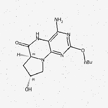 CCCCOc1nc(N)c2c(n1)N1C[C@H](O)C[C@H]1C(=O)N2